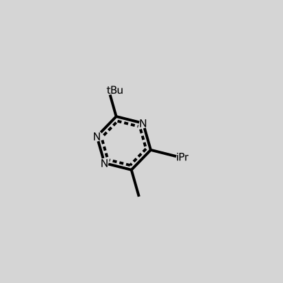 Cc1nnc(C(C)(C)C)nc1C(C)C